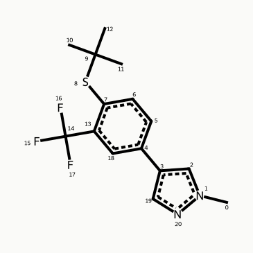 Cn1cc(-c2ccc(SC(C)(C)C)c(C(F)(F)F)c2)cn1